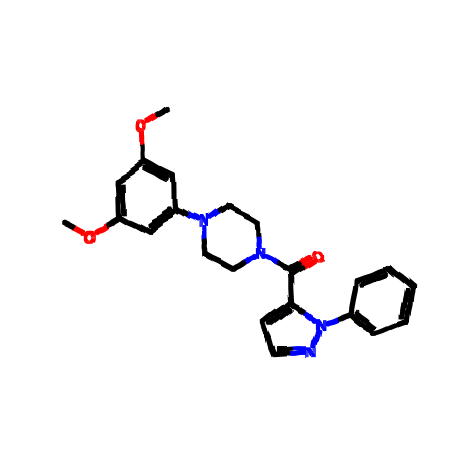 COc1cc(OC)cc(N2CCN(C(=O)c3ccnn3-c3ccccc3)CC2)c1